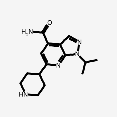 CC(C)n1ncc2c(C(N)=O)cc(C3CCNCC3)nc21